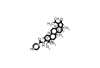 CC(C)C1=C2[C@H]3CC[C@@H]4[C@@]5(C)CCC(NC(=O)N6CCNCC6)C(C)(C)[C@@H]5CC[C@@]4(C)[C@]3(C)CC[C@@]2(C)CC1=O